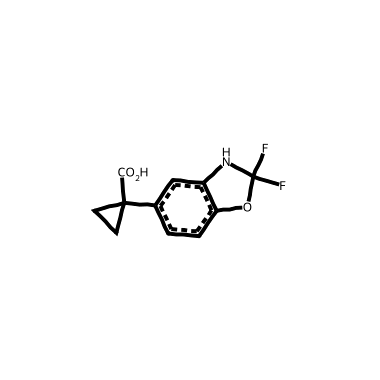 O=C(O)C1(c2ccc3c(c2)NC(F)(F)O3)CC1